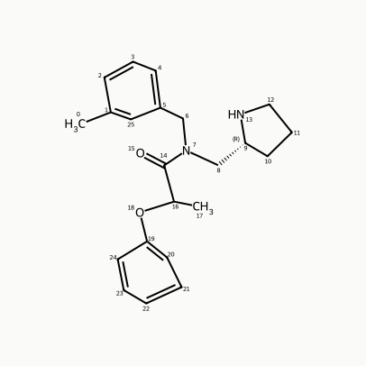 Cc1cccc(CN(C[C@H]2CCCN2)C(=O)C(C)Oc2ccccc2)c1